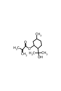 C=C(C)C(=O)OC1CC(C)CCC1C(C)(C)O